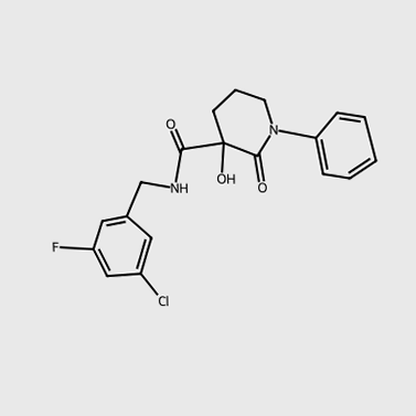 O=C(NCc1cc(F)cc(Cl)c1)C1(O)CCCN(c2ccccc2)C1=O